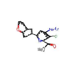 COC(=O)c1nc(-c2ccc3occc3c2)cc(N)c1Cl